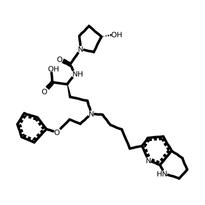 O=C(O)[C@H](CCN(CCCCc1ccc2c(n1)NCCC2)CCOc1ccccc1)NC(=O)N1CC[C@H](O)C1